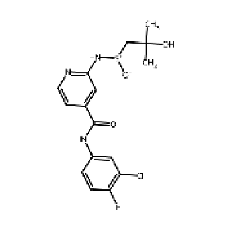 CC(C)(O)C[S+]([O-])Nc1cc(C(=O)Nc2ccc(F)c(Cl)c2)ccn1